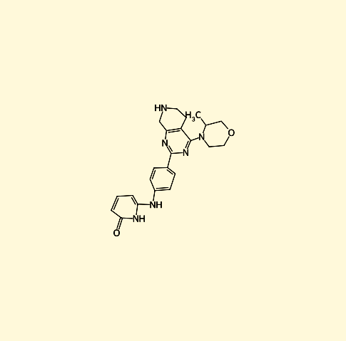 CC1COCCN1c1nc(-c2ccc(Nc3cccc(=O)[nH]3)cc2)nc2c1CCNC2